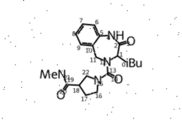 CCC(C)C1C(=O)Nc2ccccc2CN1C(=O)N1CCC(C(=O)NC)C1